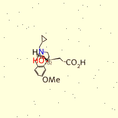 COc1ccc2c(c1)[C@]13CCN(CC4CC4)[C@H](C2)[C@]1(O)CC[C@@H](CCC(=O)O)C3